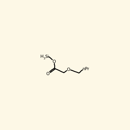 CCCCOCC(=O)O[SiH3]